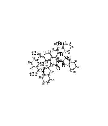 CC(C)(C)Cc1ccccc1B1c2ccc3ccc4c5c3c2N(C(=O)N5c2cc3ccccc3nc2B4c2c(CC(C)(C)C)cccc2CC(C)(C)C)c2nc3ccccc3nc21